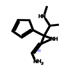 CNC(C)C1(C2=CC=CC2)N/C1=C\N